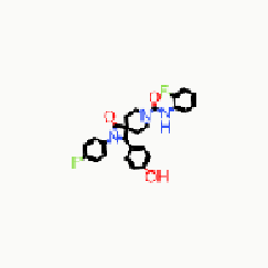 O=C(Nc1ccccc1F)N1CCC2(CC1)C(=O)N(c1ccc(F)cc1)C2c1ccc(O)cc1